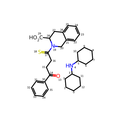 C1CCC(NC2CCCCC2)CC1.O=C(CCC(=S)N1Cc2ccccc2CC1C(=O)O)c1ccccc1